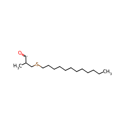 CCCCCCCCCCCCSCC(C)[C]=O